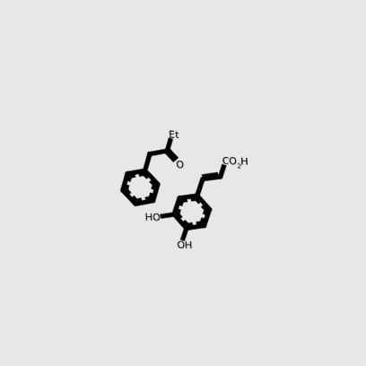 CCC(=O)Cc1ccccc1.O=C(O)C=Cc1ccc(O)c(O)c1